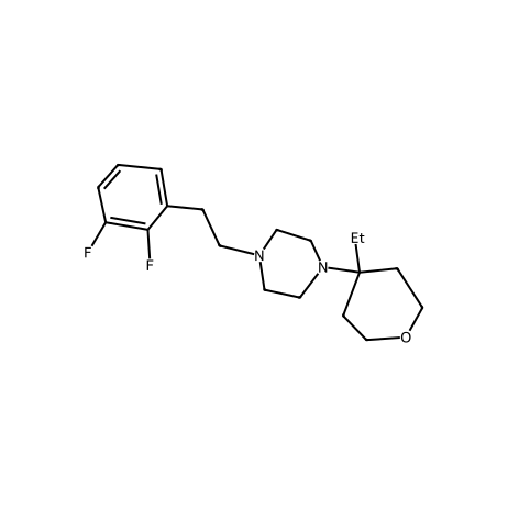 CCC1(N2CCN(CCc3cccc(F)c3F)CC2)CCOCC1